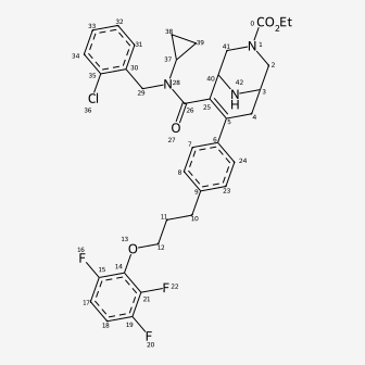 CCOC(=O)N1CC2CC(c3ccc(CCCOc4c(F)ccc(F)c4F)cc3)=C(C(=O)N(Cc3ccccc3Cl)C3CC3)C(C1)N2